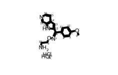 COc1ccc(/C(=N/OCCN)c2cc3ccncc3[nH]2)cc1.Cl.Cl